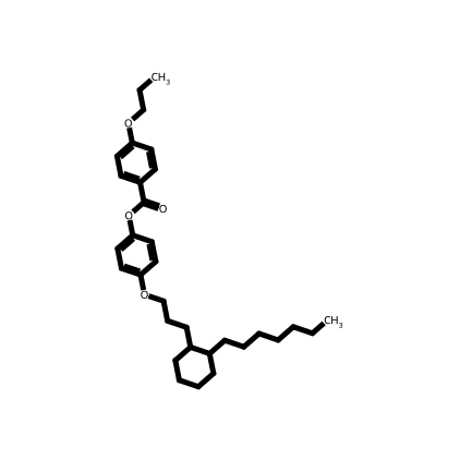 CCCCCCCC1CCCCC1CCCOc1ccc(OC(=O)c2ccc(OCCC)cc2)cc1